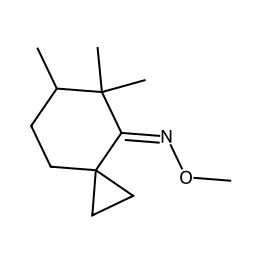 CO/N=C1\C2(CCC(C)C1(C)C)CC2